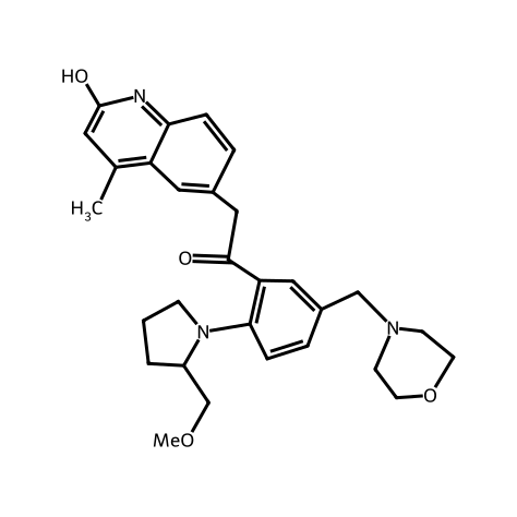 COCC1CCCN1c1ccc(CN2CCOCC2)cc1C(=O)Cc1ccc2nc(O)cc(C)c2c1